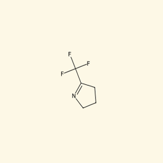 FC(F)(F)C1=NCCC1